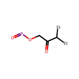 CCC(CC)C(=O)COP=O